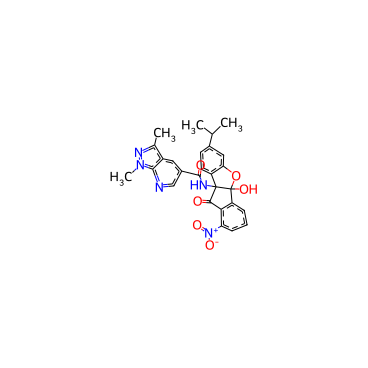 Cc1nn(C)c2ncc(C(=O)NC34C(=O)c5c([N+](=O)[O-])cccc5C3(O)Oc3cc(C(C)C)ccc34)cc12